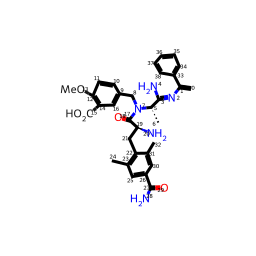 C=C(/N=C(\N)[C@H](C)N(Cc1ccc(OC)c(C(=O)O)c1)C(=O)[C@@H](N)Cc1c(C)cc(C(N)=O)cc1C)c1ccccc1